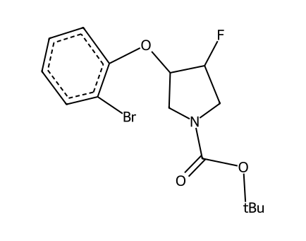 CC(C)(C)OC(=O)N1CC(F)C(Oc2ccccc2Br)C1